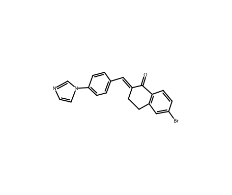 O=C1/C(=C/c2ccc(-n3ccnc3)cc2)CCc2cc(Br)ccc21